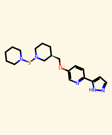 c1cc(-c2ccc(OC[C@@H]3CCCN(SN4CCCCC4)C3)cn2)[nH]n1